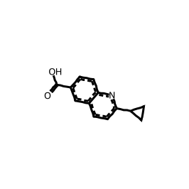 O=C(O)c1ccc2nc(C3CC3)ccc2c1